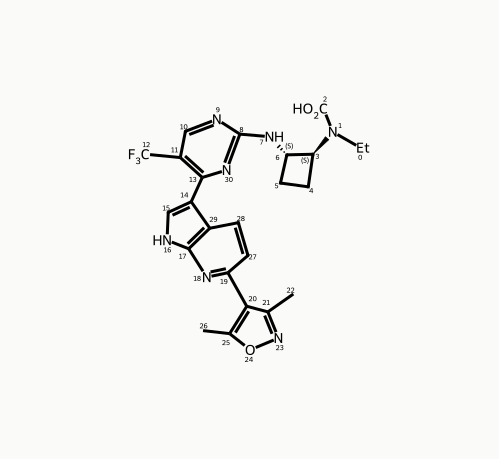 CCN(C(=O)O)[C@H]1CC[C@@H]1Nc1ncc(C(F)(F)F)c(-c2c[nH]c3nc(-c4c(C)noc4C)ccc23)n1